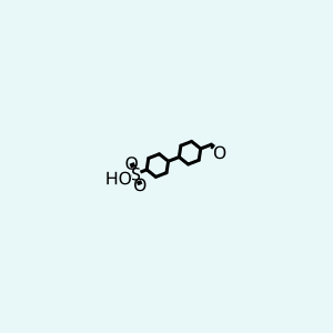 O=CC1CCC(C2CCC(S(=O)(=O)O)CC2)CC1